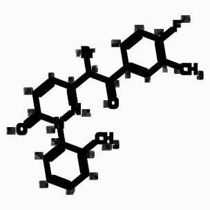 Cc1cc(C(=O)C(Br)c2ccc(=O)n(-c3ccccc3C)n2)ccc1F